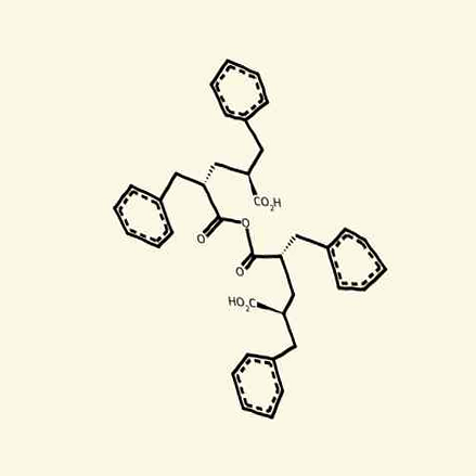 O=C(O)[C@H](Cc1ccccc1)C[C@@H](Cc1ccccc1)C(=O)OC(=O)[C@H](Cc1ccccc1)C[C@@H](Cc1ccccc1)C(=O)O